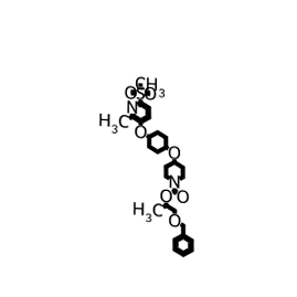 Cc1nc(S(C)(=O)=O)ccc1OC1CCC(OC2CCN(C(=O)OC(C)COCc3ccccc3)CC2)CC1